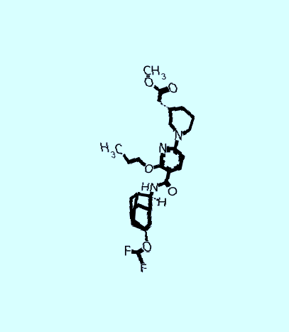 CCCOc1nc(N2CCC[C@@H](CC(=O)OC)C2)ccc1C(=O)N[C@H]1C2CC3CC1C[C@@](OC(F)F)(C3)C2